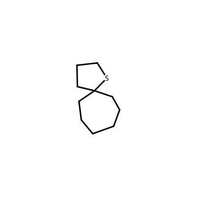 C1CCCC2(CC1)CCCS2